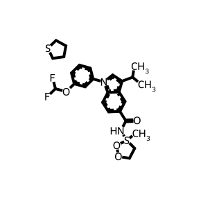 C1CCSC1.CC(C)c1cn(-c2cccc(OC(F)F)c2)c2ccc(C(=O)NS3(C)CCOO3)cc12